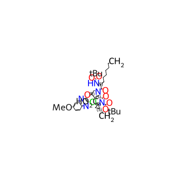 C=CCCCCC[C@H](NC(=O)OC(C)(C)C)C(=O)N1C[C@H](Oc2nc3cc(OC)ccc3nc2Cl)C[C@H]1C(=O)N(C(=O)OC(C)(C)C)[C@]1(C(=O)O)C[C@H]1C=C